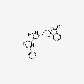 O=C1OC2(CCC(c3cc(-c4cncc(-c5ccccc5)n4)[nH]n3)CC2)c2ccccc21